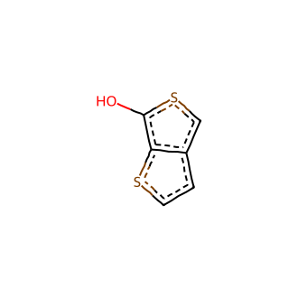 Oc1scc2ccsc12